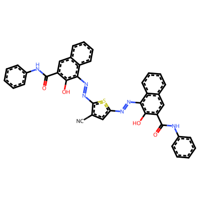 N#Cc1cc(N=Nc2c(O)c(C(=O)Nc3ccccc3)cc3ccccc23)sc1N=Nc1c(O)c(C(=O)Nc2ccccc2)cc2ccccc12